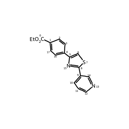 CCOC(=O)c1ccc(-c2csc(-c3cccnc3)n2)cc1